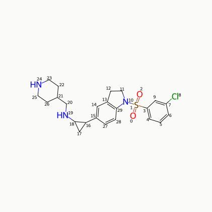 O=S(=O)(c1cccc(Cl)c1)N1CCc2cc(C3CC3NCC3CCNCC3)ccc21